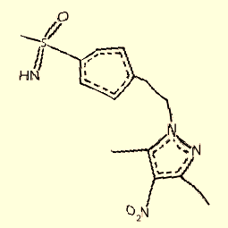 Cc1nn(Cc2ccc(S(C)(=N)=O)cc2)c(C)c1[N+](=O)[O-]